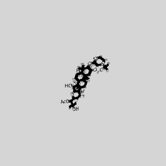 CC(=O)OC(C1C[C@@H](C)[C@H]2C(O1)[C@H](O)[C@@]1(C)C3CC[C@H]4C(C)(C)C(OC5CN(C(C)(C)C(=O)O)CCO5)CCC45CC35CCC21C)C(C)(C)O